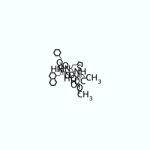 CCOC(=O)C[C@H](O)[C@H](CC(C)C)NC(=O)C(Cc1cccs1)NC(=O)[C@H](Cc1cccc2ccccc12)NC(=O)OCc1ccccc1